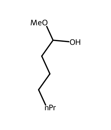 CCCCCCC(O)OC